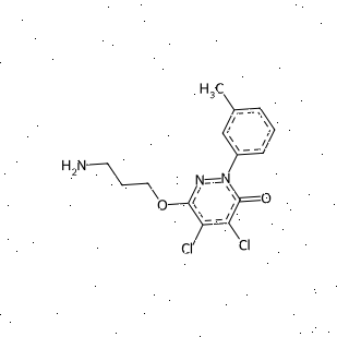 Cc1cccc(-n2nc(OCCCN)c(Cl)c(Cl)c2=O)c1